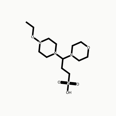 CCON1CCN(C(CCS(=O)(=O)O)N2CCOCC2)CC1